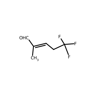 CC(C=O)=CCC(F)(F)F